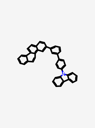 c1cc(-c2ccc(-n3c4ccccc4c4ccccc43)cc2)cc(-c2ccc3ccc4c5ccccc5ccc4c3c2)c1